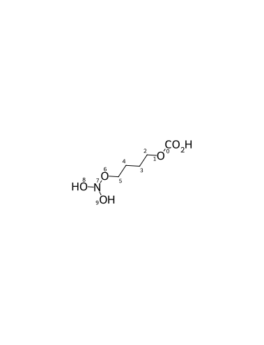 O=C(O)OCCCCON(O)O